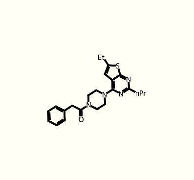 CCCc1nc(N2CCN(C(=O)Cc3ccccc3)CC2)c2cc(CC)sc2n1